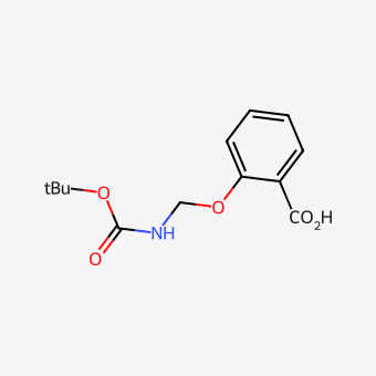 CC(C)(C)OC(=O)NCOc1ccccc1C(=O)O